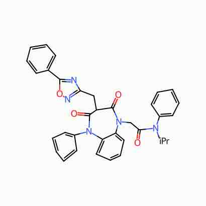 CC(C)N(C(=O)CN1C(=O)C(Cc2noc(-c3ccccc3)n2)C(=O)N(c2ccccc2)c2ccccc21)c1ccccc1